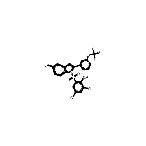 O=S(=O)(c1cc(Cl)cc(Cl)c1O)n1c(-c2cccc(OC(F)(F)F)c2)cc2cc(Cl)ccc21